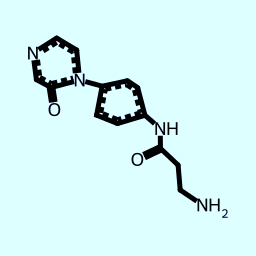 NCCC(=O)Nc1ccc(-n2ccncc2=O)cc1